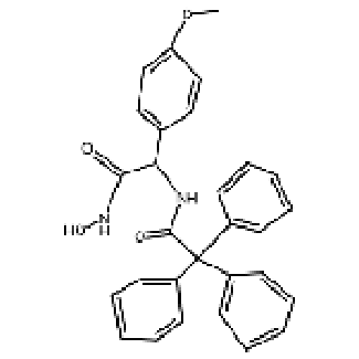 COc1ccc(C(NC(=O)C(c2ccccc2)(c2ccccc2)c2ccccc2)C(=O)NO)cc1